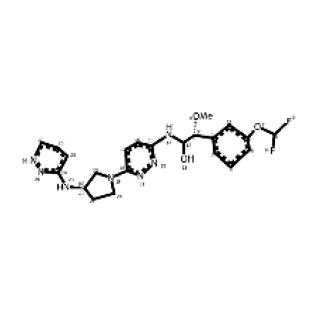 CO[C@H](c1cccc(OC(F)F)c1)C(O)Nc1ccc(N2CC[C@@H](Nc3cccnn3)C2)nn1